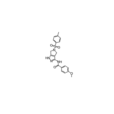 COc1ccc(C(=O)Nc2n[nH]c3c2CN(S(=O)(=O)c2ccc(C)cc2)C3)cc1